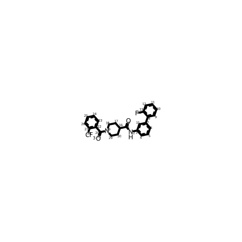 O=C(Nc1cccc(-c2ccccc2F)c1)C1CCN(C(=O)c2ccccc2C(F)(F)F)CC1